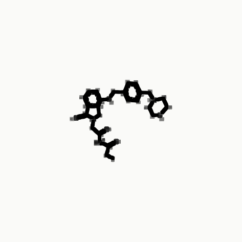 CCC(=O)NC(=O)CN1Cc2c(OCc3ccc(CN4CCOCC4)cc3)cccc2C1=O